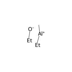 CC[O-].C[CH2][Al+][CH3]